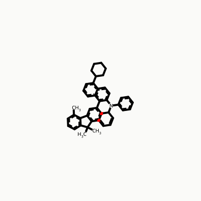 Cc1cccc2c1-c1cc(-c3c(N(c4ccccc4)C4C=CC=CC4)ccc4c(C5CCCCC5)cccc34)ccc1C2(C)C